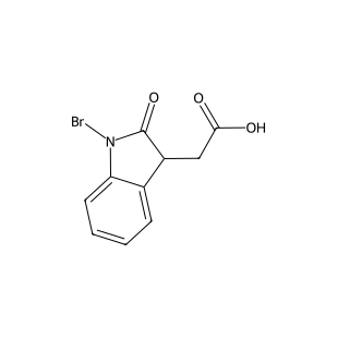 O=C(O)CC1C(=O)N(Br)c2ccccc21